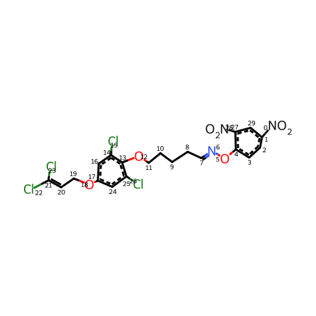 O=[N+]([O-])c1ccc(ON=CCCCCOc2c(Cl)cc(OCC=C(Cl)Cl)cc2Cl)c([N+](=O)[O-])c1